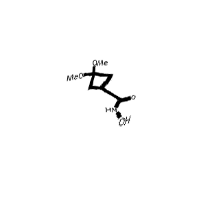 COC1(OC)CC(C(=O)NO)C1